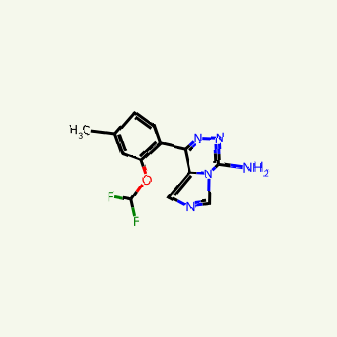 Cc1ccc(-c2nnc(N)n3cncc23)c(OC(F)F)c1